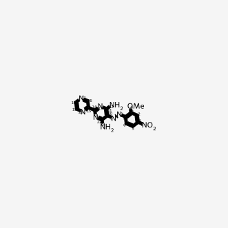 COc1cc([N+](=O)[O-])ccc1/N=N/c1c(N)nc(-c2cnccn2)nc1N